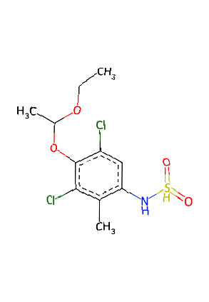 CCOC(C)Oc1c(Cl)cc(N[SH](=O)=O)c(C)c1Cl